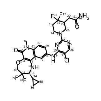 Cn1c(=O)c2c(c3cc(Nc4nc(N5CCC(F)(F)C(CC(N)=O)C5)ncc4Cl)ccc31)N[C@@H](C1CC1)C(F)(F)CO2